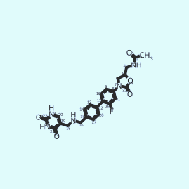 CC(=O)NCC1CN(c2ccc(-c3ccc(CNCc4c[nH]c(=O)[nH]c4=O)cc3)c(F)c2)C(=O)O1